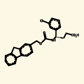 O=C(O)CC[C@H](NC(=O)OCc1ccc2c(c1)Cc1ccccc1-2)c1cccc(Cl)c1